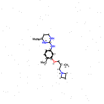 CNC1CCNC(Nc2ccc(OC)c(OC[C@H](C)CN3CCC3)c2)N1